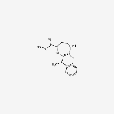 CCCOC(=O)C1CCCC2=C(N1)N(C)c1ccccc1C2.Cl